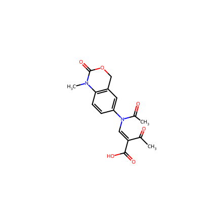 CC(=O)/C(=C\N(C(C)=O)c1ccc2c(c1)COC(=O)N2C)C(=O)O